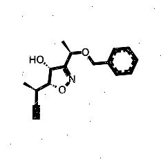 C#C[C@@H](C)[C@H]1ON=C([C@@H](C)OCc2ccccc2)[C@H]1O